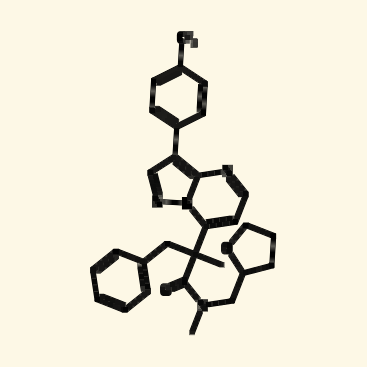 CN(CC1CCCO1)C(=O)C(C)(Cc1ccccc1)c1ccnc2c(-c3ccc(C(F)(F)F)cc3)cnn12